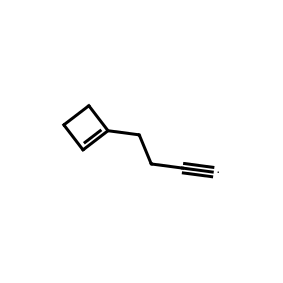 [C]#CCCC1=CCC1